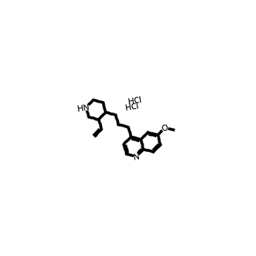 C=CC1CNCCC1CCCc1ccnc2ccc(OC)cc12.Cl.Cl